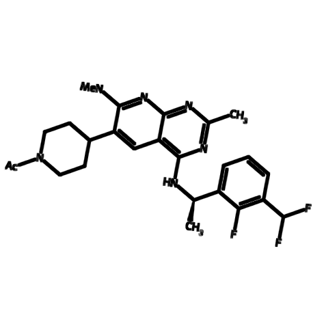 CNc1nc2nc(C)nc(N[C@H](C)c3cccc(C(F)F)c3F)c2cc1C1CCN(C(C)=O)CC1